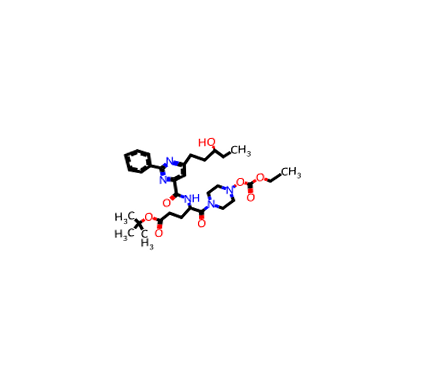 CCOC(=O)ON1CCN(C(=O)C(CCC(=O)OC(C)(C)C)NC(=O)c2cc(CC[C@@H](O)CC)nc(-c3ccccc3)n2)CC1